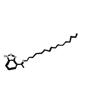 CCCCCCCCCCCCCCCCN=C(C)c1cccc2[nH]nnc12